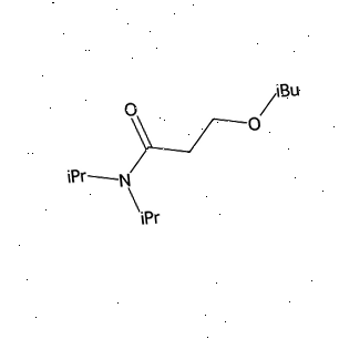 CCC(C)OCCC(=O)N(C(C)C)C(C)C